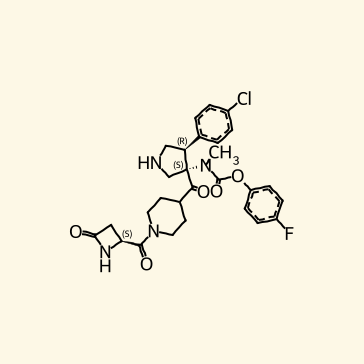 CN(C(=O)Oc1ccc(F)cc1)[C@]1(C(=O)C2CCN(C(=O)[C@@H]3CC(=O)N3)CC2)CNC[C@H]1c1ccc(Cl)cc1